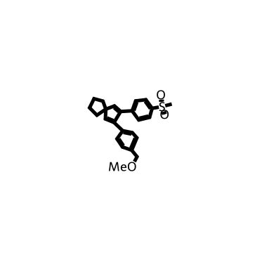 COCc1ccc(C2=CC3(C=C2c2ccc(S(C)(=O)=O)cc2)CCCC3)cc1